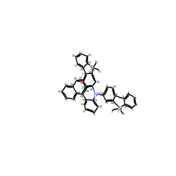 C[Si]1(C)c2ccccc2-c2ccc(N(c3ccc4c(c3)[Si](C)(C)c3ccccc3-4)c3ccccc3-c3cccc4ccccc34)cc21